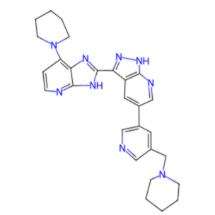 c1cc(N2CCCCC2)c2nc(-c3n[nH]c4ncc(-c5cncc(CN6CCCCC6)c5)cc34)[nH]c2n1